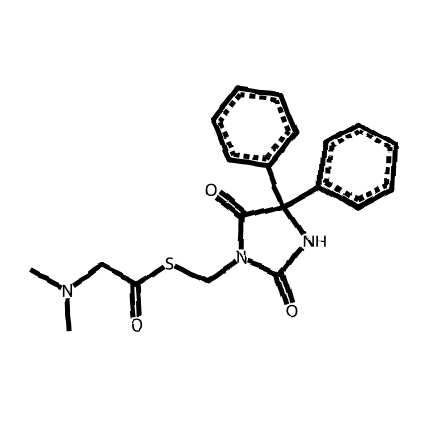 CN(C)CC(=O)SCN1C(=O)NC(c2ccccc2)(c2ccccc2)C1=O